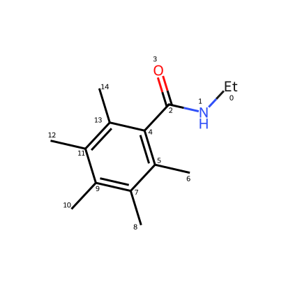 [CH2]CNC(=O)c1c(C)c(C)c(C)c(C)c1C